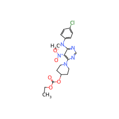 CCOC(=O)OC1CCN(c2ncnc(N(C)c3ccc(Cl)cc3)c2[N+](=O)[O-])CC1